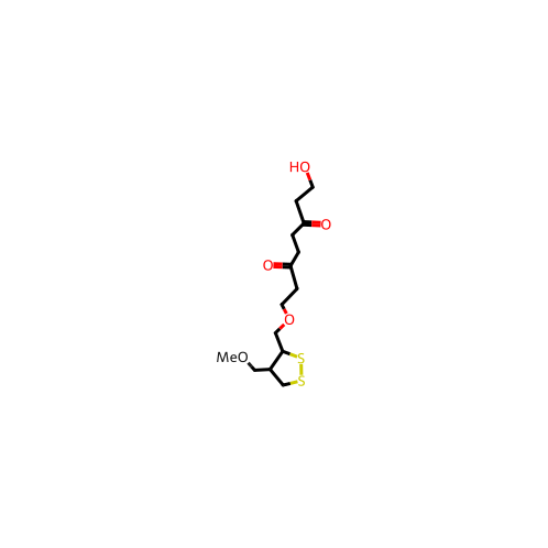 COCC1CSSC1COCCC(=O)CCC(=O)CCO